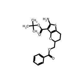 CC(C)(C)OC(=O)c1c(N)sc2c1OC(COC(=O)c1ccccc1)CC2